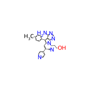 Cc1ccc(-c2c(C=C(C#N)c3ccncc3)n(CCCO)c3ncnc(N)c23)cc1